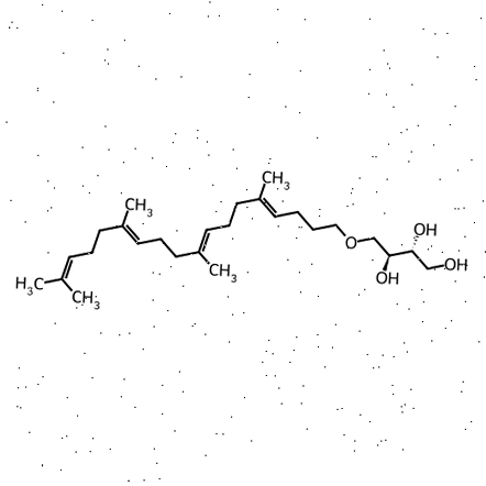 CC(C)=CCCC(C)=CCCC(C)=CCCC(C)=CCCCOC[C@H](O)[C@H](O)CO